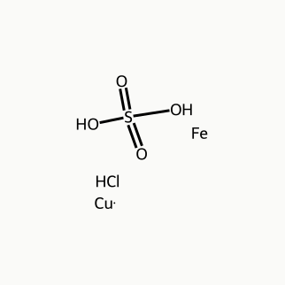 Cl.O=S(=O)(O)O.[Cu].[Fe]